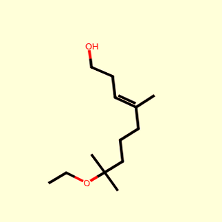 CCOC(C)(C)CCCC(C)=CCCO